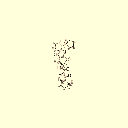 Cc1cc(NC(=O)NC(=O)c2c(F)cccc2F)c(C)c(Cl)c1Oc1ccccc1-c1ccccc1